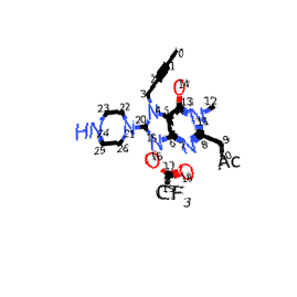 CC#CCN1c2c(nc(CC(C)=O)n(C)c2=O)N(OC(=O)C(F)(F)F)C1N1CCNCC1